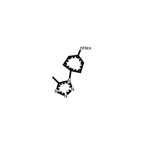 [CH2]CCCCCc1ccc(-n2nnnc2C)cc1